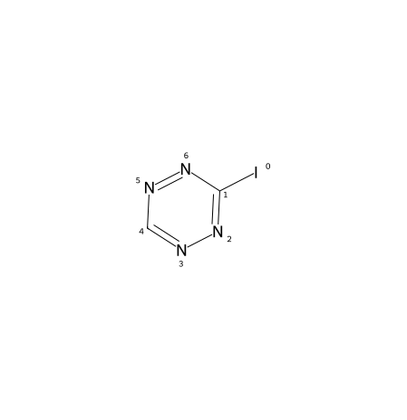 Ic1nncnn1